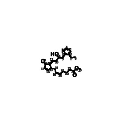 CCc1scnc1C[C@H](O)C/C=C1/C(=O)C=C[C@@H]1C/C=C\CCCC(=O)OC